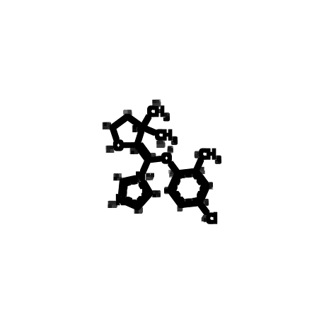 Cc1cc(Cl)ccc1OC(=C1OCCC1(C)C)n1ccnc1